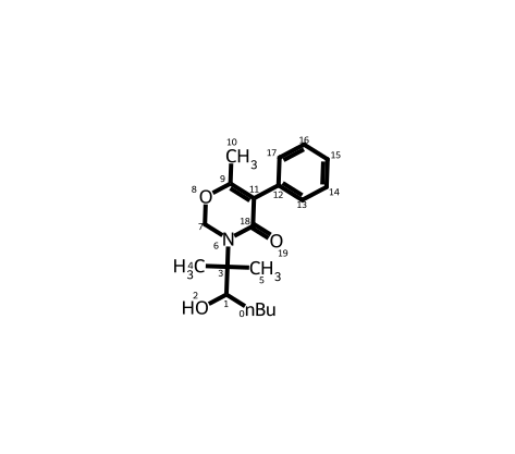 CCCCC(O)C(C)(C)N1COC(C)=C(c2ccccc2)C1=O